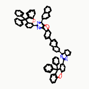 c1ccc(C2(c3ccccc3)c3ccccc3Oc3ccc(-c4nc(-c5ccc6cc(-c7ccc8c(c7)oc7c(-c9ccc%10ccccc%10c9)nc(-c9cccc%10c9Oc9ccccc9C%10(c9ccccc9)c9ccccc9)nc78)ccc6c5)c5ccccc5n4)cc32)cc1